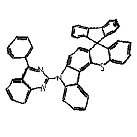 c1ccc(-c2nc(-n3c4ccccc4c4c5c(ccc43)C3(c4ccccc4S5)c4ccccc4-c4ccccc43)nc3ccccc23)cc1